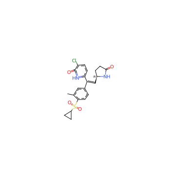 Cc1cc(C(=C[C@H]2CCC(=O)N2)c2ccc(Cl)c(=O)[nH]2)ccc1S(=O)(=O)C1CC1